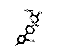 Cc1cc(F)ccc1C1CCN(S(=O)(=O)CC(C(=O)NO)C(C)C)CC1